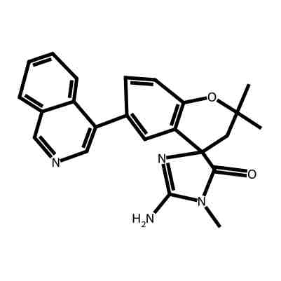 CN1C(=O)C2(CC(C)(C)Oc3ccc(-c4cncc5ccccc45)cc32)N=C1N